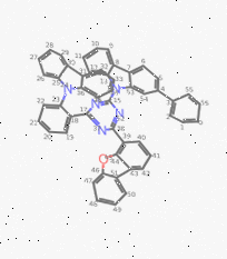 c1ccc(-c2ccc3c4ccccc4n(-c4nc(-c5ccccc5-n5c6ccccc6c6ccccc65)nc(-c5cccc6c5oc5ccccc56)n4)c3c2)cc1